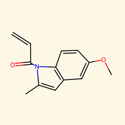 C=CC(=O)n1c(C)cc2cc(OC)ccc21